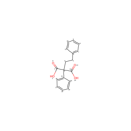 O=C(O)C(CCc1ccccc1)(C(=O)O)c1ccccc1